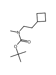 CN(CCC1CCC1)C(=O)OC(C)(C)C